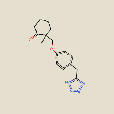 CC1(COc2ccc(Cc3nnn[nH]3)cc2)CCCCC1=O